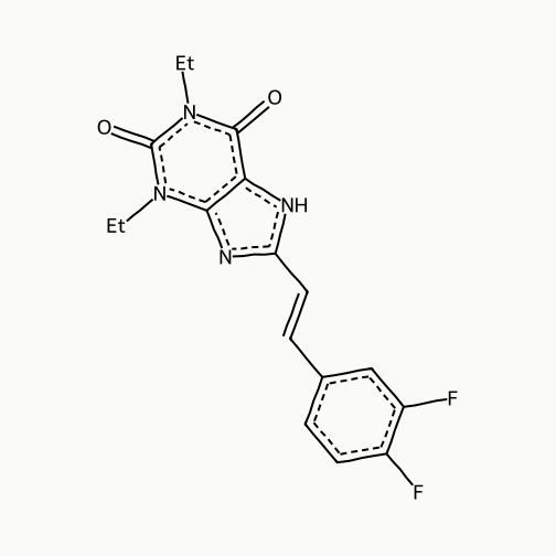 CCn1c(=O)c2[nH]c(C=Cc3ccc(F)c(F)c3)nc2n(CC)c1=O